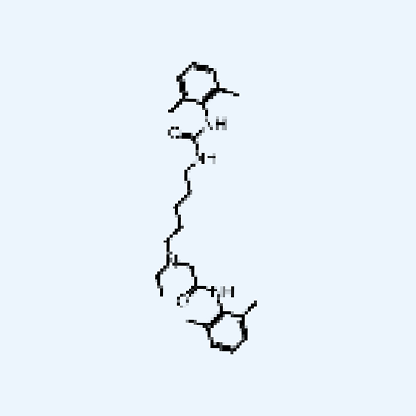 CCN(CCCCCNC(=O)Nc1c(C)cccc1C)CC(=O)Nc1c(C)cccc1C